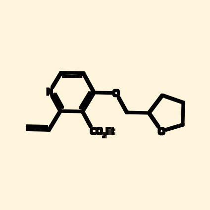 C=Cc1nccc(OCC2CCCO2)c1C(=O)OCC